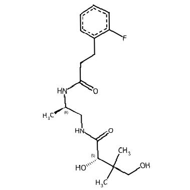 C[C@H](CNC(=O)[C@@H](O)C(C)(C)CO)NC(=O)CCc1ccccc1F